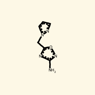 Nc1noc(Cn2cccn2)n1